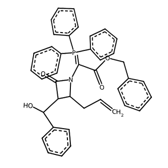 C=CCC1C(C(O)c2ccccc2)C(=O)N1C(C(=O)OCc1ccccc1)=P(c1ccccc1)(c1ccccc1)c1ccccc1